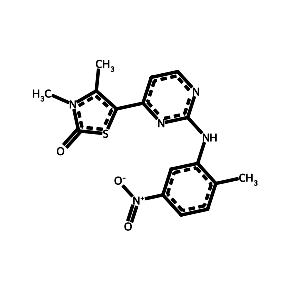 Cc1ccc([N+](=O)[O-])cc1Nc1nccc(-c2sc(=O)n(C)c2C)n1